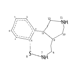 c1ccc2c(c1)SNCC1CNCC21